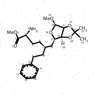 COC(=O)[C@@H](N)CC[C@H](CCc1ccccc1)C[C@H]1O[C@@H](OC)C2OC(C)(C)O[C@H]21